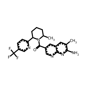 Cc1cc2cc(C(=O)N3C(C)CCCC3c3ccc(C(F)(F)F)cn3)cnc2nc1N